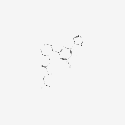 CCCCC(CC)CNC(=O)CC1CCCCN1c1cc(C(C)C)nc(-n2ccnc2)n1